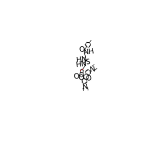 CCN(CC)c1ccc2c(c1)Oc1cc(N(CC)CC)ccc1C21OC(=O)c2ccc(CNC(=S)NCCNC(=O)c3ccc(C)cc3)cc21